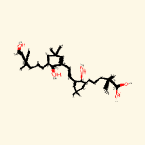 CC1(C)C=C(C=CC2=CC(C)(C)C=C(CCCC(C)(C)C(=O)O)C2O)C(O)C(CCCC(C)(C)CO)=C1